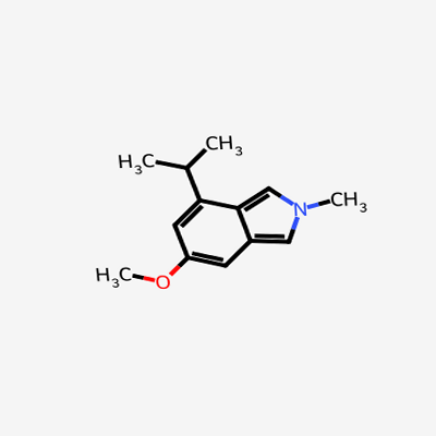 COc1cc(C(C)C)c2cn(C)cc2c1